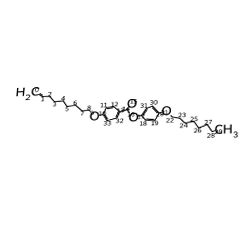 C=CCCCCCCCOc1ccc(C(=O)Oc2ccc(OCCCCCCCC)cc2)cc1